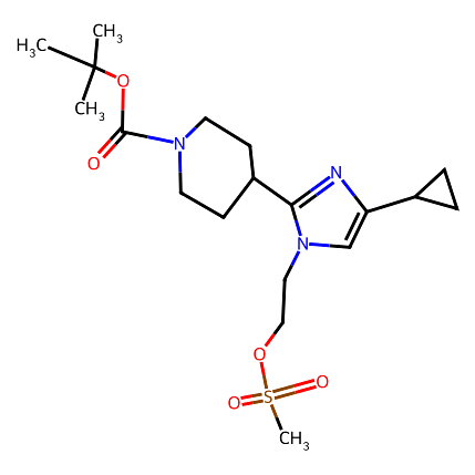 CC(C)(C)OC(=O)N1CCC(c2nc(C3CC3)cn2CCOS(C)(=O)=O)CC1